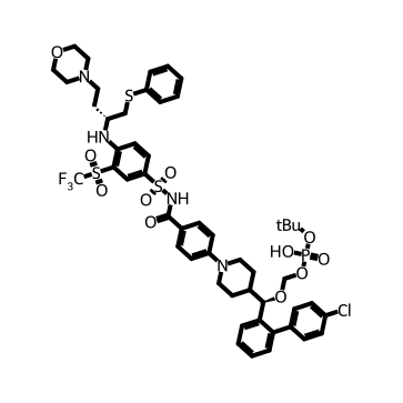 CC(C)(C)OP(=O)(O)OCO[C@@H](c1ccccc1-c1ccc(Cl)cc1)C1CCN(c2ccc(C(=O)NS(=O)(=O)c3ccc(N[C@H](CCN4CCOCC4)CSc4ccccc4)c(S(=O)(=O)C(F)(F)F)c3)cc2)CC1